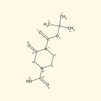 CC(C)(C)OC(=O)N1CCN(C(=O)O)CC1=O